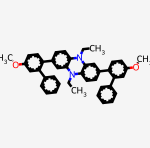 CCN1c2ccc(-c3ccc(OC)cc3-c3ccccc3)cc2N(CC)c2ccc(-c3ccc(OC)cc3-c3ccccc3)cc21